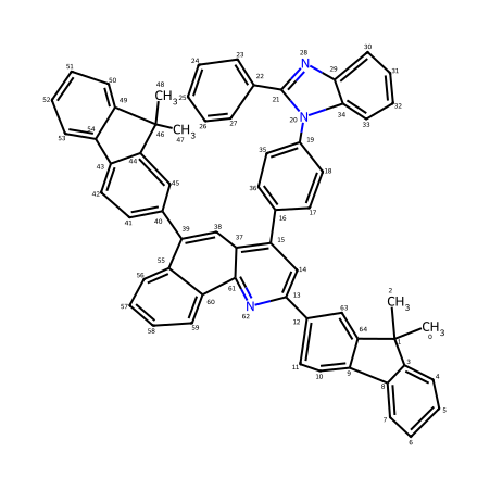 CC1(C)c2ccccc2-c2ccc(-c3cc(-c4ccc(-n5c(-c6ccccc6)nc6ccccc65)cc4)c4cc(-c5ccc6c(c5)C(C)(C)c5ccccc5-6)c5ccccc5c4n3)cc21